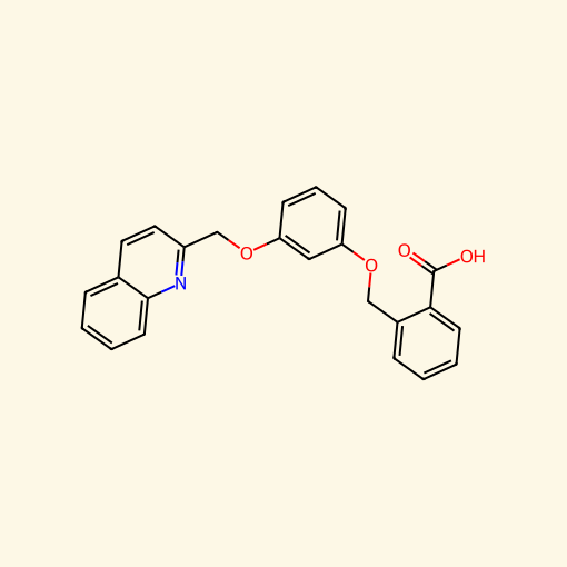 O=C(O)c1ccccc1COc1cccc(OCc2ccc3ccccc3n2)c1